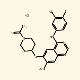 CC(=O)Oc1cc2ncnc(Nc3ccc(F)c(Cl)c3)c2cc1OC1CCN(C(=O)C(F)(F)F)CC1.Cl